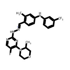 Cc1cc(Nc2cccc(C(F)(F)F)c2)ccc1/C=N/Nc1ncc(F)c(N2CCOCC2C)n1